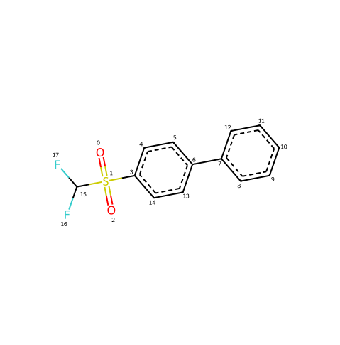 O=S(=O)(c1ccc(-c2ccccc2)cc1)C(F)F